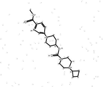 COC(=O)c1ccc(N2CCC(OC(=O)N3CCN(C4CCC4)CC3)CC2)cn1